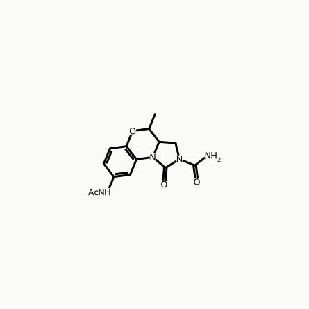 CC(=O)Nc1ccc2c(c1)N1C(=O)N(C(N)=O)CC1C(C)O2